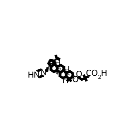 C=C(C)[C@@H]1CC[C@]2(CCN3CCNCC3)CC[C@]3(C)[C@H](CC[C@@H]4[C@@]5(C)CC[C@H](OC(=O)CC(C)(C)CC(=O)O)C(C)(C)[C@@H]5CC[C@]43C)[C@@H]12